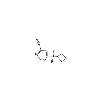 N#Cc1cc(C(F)(F)C2CCC2)ccn1